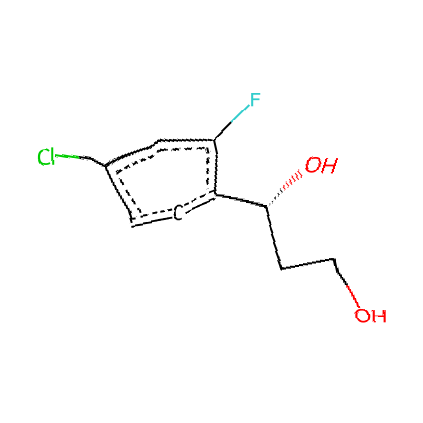 OCC[C@@H](O)c1ccc(Cl)cc1F